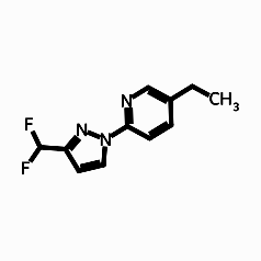 CCc1ccc(-n2ccc(C(F)F)n2)nc1